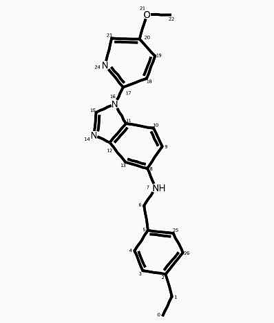 CCc1ccc(CNc2ccc3c(c2)ncn3-c2ccc(OC)cn2)cc1